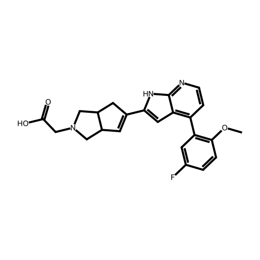 COc1ccc(F)cc1-c1ccnc2[nH]c(C3=CC4CN(CC(=O)O)CC4C3)cc12